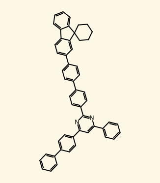 c1ccc(-c2ccc(-c3cc(-c4ccccc4)nc(-c4ccc(-c5ccc(-c6ccc7c(c6)C6(CCCCC6)c6ccccc6-7)cc5)cc4)n3)cc2)cc1